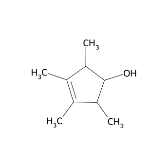 CC1=C(C)C(C)C(O)C1C